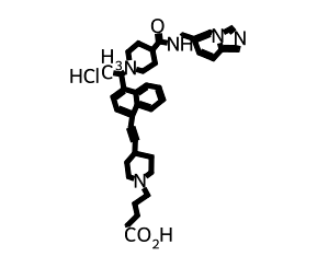 CC(c1ccc(C#CC2CCN(CCCCC(=O)O)CC2)c2ccccc12)N1CCC(C(=O)NCc2ccc3cncn3c2)CC1.Cl